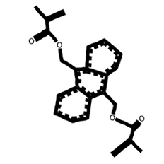 C=C(C)C(=O)OCc1c2ccccc2c(COC(=O)C(=C)C)c2ccccc12